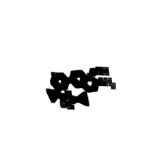 N=CN1c2ccc(-c3cncc(C4(c5nc(C6CC6)no5)CC4)c3)cc2CCC1N